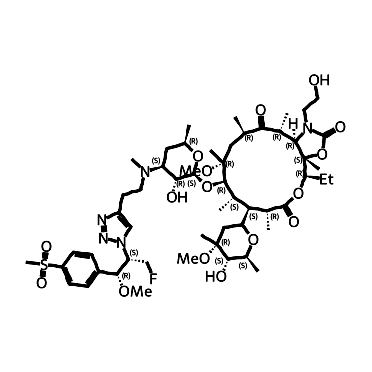 CC[C@H]1OC(=O)[C@H](C)[C@@H](C2C[C@@](C)(OC)[C@@H](O)[C@H](C)O2)[C@H](C)[C@@H](O[C@@H]2O[C@H](C)C[C@H](N(C)CCc3cn([C@H](CF)[C@H](OC)c4ccc(S(C)(=O)=O)cc4)nn3)[C@H]2O)[C@](C)(OC)C[C@@H](C)C(=O)[C@H](C)[C@H]2N(CCO)C(=O)O[C@]12C